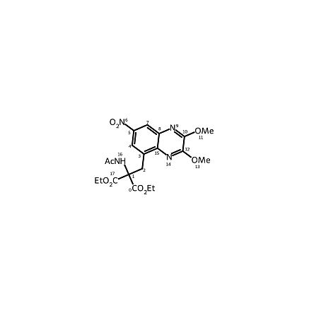 CCOC(=O)C(Cc1cc([N+](=O)[O-])cc2nc(OC)c(OC)nc12)(NC(C)=O)C(=O)OCC